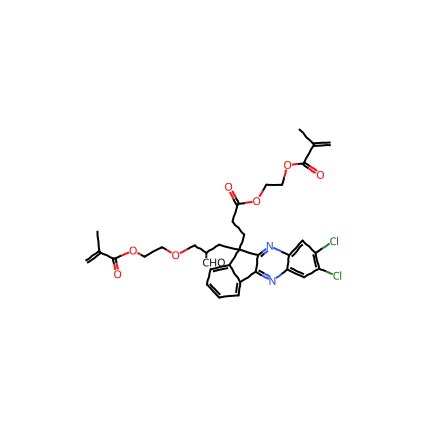 C=C(C)C(=O)OCCOCC(C=O)CC1(CCC(=O)OCCOC(=O)C(=C)C)c2ccccc2-c2nc3cc(Cl)c(Cl)cc3nc21